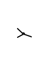 CCCCCCCCCCCCN1C=CN(CCCCCCCCCCC)C1CCCCCCCCCC